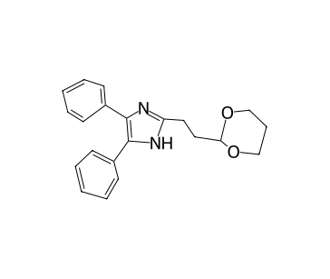 c1ccc(-c2nc(CCC3OCCCO3)[nH]c2-c2ccccc2)cc1